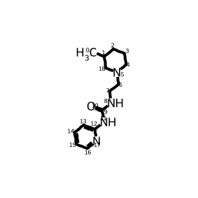 CC1CCCN(CCNC(=O)Nc2ccccn2)C1